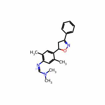 Cc1cc(C2CC(c3ccccc3)=NO2)c(C)cc1/N=C\N(C)C